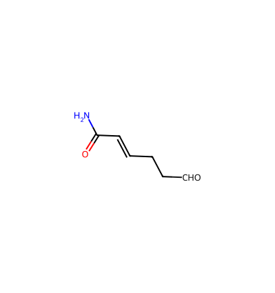 NC(=O)C=CCCC=O